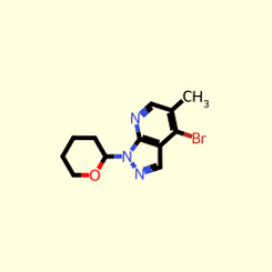 Cc1cnc2c(cnn2C2CCCCO2)c1Br